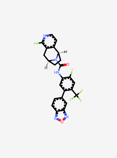 O=C(Nc1cc(-c2ccc3nonc3c2)c(C(F)(F)F)cc1F)N1[C@H]2CC[C@@H]1c1ccnc(F)c1C2